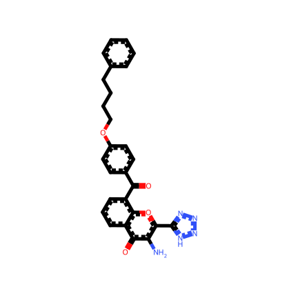 Nc1c(-c2nnn[nH]2)oc2c(C(=O)c3ccc(OCCCCc4ccccc4)cc3)cccc2c1=O